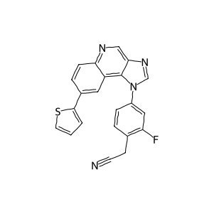 N#CCc1ccc(-n2cnc3cnc4ccc(-c5cccs5)cc4c32)cc1F